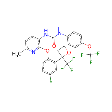 Cc1ccc(NC(=O)Nc2ccc(OC(F)(F)F)cc2)c(Oc2ccc(F)cc2C2(C(F)(F)F)CCO2)n1